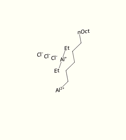 CCCCCCCCCCCC[CH2][Al+2].C[CH2][Al+][CH2]C.[Cl-].[Cl-].[Cl-]